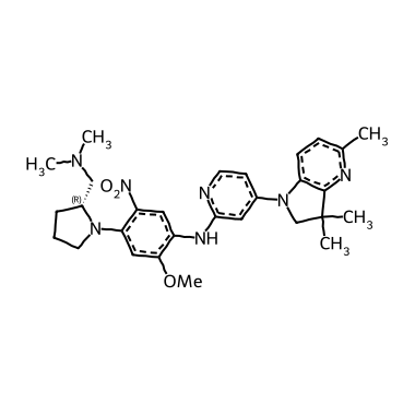 COc1cc(N2CCC[C@@H]2CN(C)C)c([N+](=O)[O-])cc1Nc1cc(N2CC(C)(C)c3nc(C)ccc32)ccn1